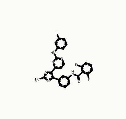 Cc1nc(-c2cccc(NC(=O)c3c(F)cccc3F)c2)c(-c2ccnc(Nc3cccc(F)c3)n2)s1